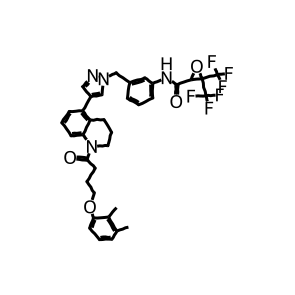 Cc1cccc(OCCCC(=O)N2CCCc3c(-c4cnn(Cc5cccc(NC(=O)C6OC6(C(F)(F)F)C(F)(F)F)c5)c4)cccc32)c1C